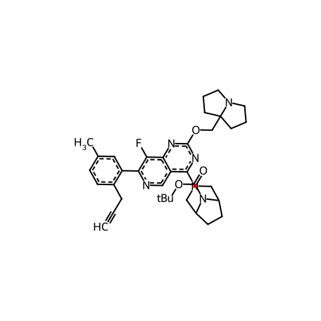 C#CCc1ccc(C)cc1-c1ncc2c(N3CC4CCC(C3)N4C(=O)OC(C)(C)C)nc(OCC34CCCN3CCC4)nc2c1F